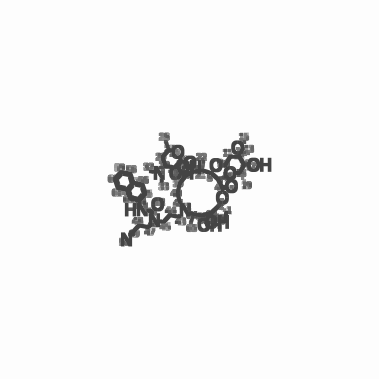 CC[C@H]1OC(=O)[C@H](C)[C@@H](O[C@H]2C[C@@](C)(OC)[C@@H](O)[C@H](C)O2)[C@H](C)[C@@H](O[C@@H]2O[C@H](C)C[C@H](N(C)C)[C@H]2O)[C@](C)(O)CCCN(CCCN(CCC#N)C(=O)Nc2ccc3ccccc3c2)[C@H](C)[C@@H](O)[C@]1(C)O